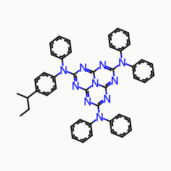 CCC(C)c1ccc(N(C2=NC3=NC(N(c4ccccc4)c4ccccc4)=NC4=NC(N(c5ccccc5)c5ccccc5)=NC(=N2)N43)c2ccccc2)cc1